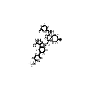 Cc1cccc(NC(=O)[C@@H]2CCC(F)CCN2C(=O)Cn2cc(C(N)=O)c3cc(-c4ccc(N)nc4)ccc32)n1